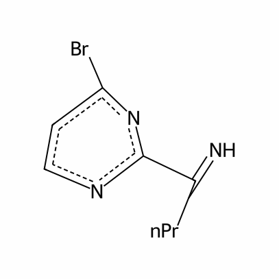 CCCC(=N)c1nccc(Br)n1